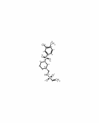 C=CS(=O)(=O)NC[C@H]1CCCN(S(=O)(=O)c2ccc(C)c(Cl)c2)C1